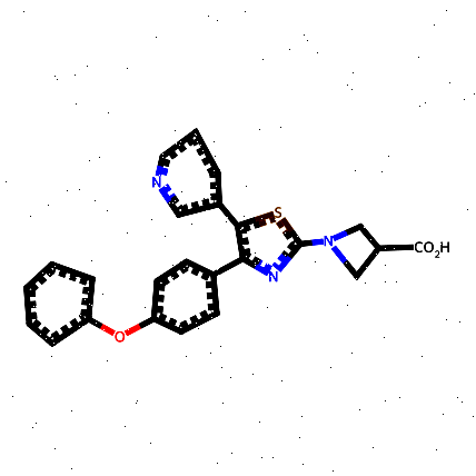 O=C(O)C1CN(c2nc(-c3ccc(Oc4ccccc4)cc3)c(-c3cccnc3)s2)C1